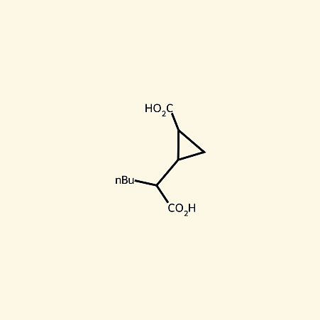 CCCCC(C(=O)O)C1CC1C(=O)O